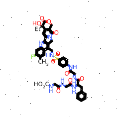 CC[C@@]1(O)C(=O)OCc2c1cc1n(c2=O)Cc2c-1nc1cc(F)c(C)cc1c2CNS(=O)(=O)c1ccc(NC(=O)CNC(=O)C(Cc2ccccc2)NC(=O)CNC(=O)CNC(=O)O)cc1